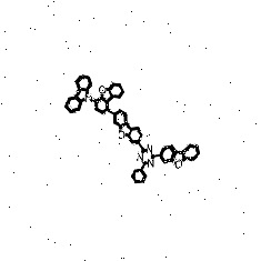 c1ccc(-c2nc(-c3ccc4c(c3)oc3ccccc34)nc(-c3ccc4c(c3)oc3cc(-c5ccc(-n6c7ccccc7c7ccccc76)c6oc7ccccc7c56)ccc34)n2)cc1